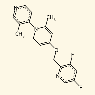 CC1=CC(OCc2ncc(F)cc2F)=CCN1c1ccncc1C